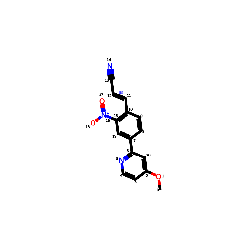 COc1ccnc(-c2ccc(/C=C/C#N)c([N+](=O)[O-])c2)c1